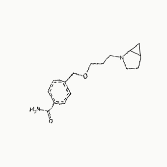 NC(=O)c1ccc(COCCCN2CCC3CC32)cc1